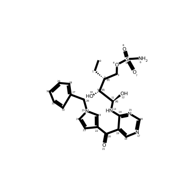 CC[C@H](COS(N)(=O)=O)[C@@H](O)[C@@H](O)Nc1ncncc1C(=O)c1ccn(Cc2ccccc2)c1